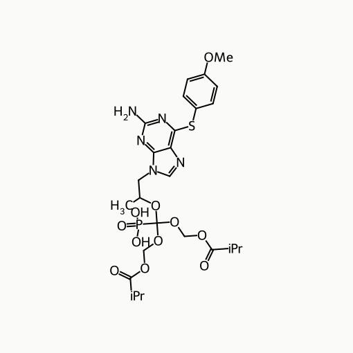 COc1ccc(Sc2nc(N)nc3c2ncn3CC(C)OC(OCOC(=O)C(C)C)(OCOC(=O)C(C)C)P(=O)(O)O)cc1